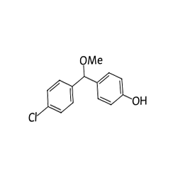 COC(c1ccc(O)cc1)c1ccc(Cl)cc1